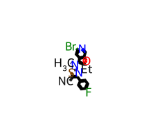 CCc1oc2cnc(Br)cc2c1N(C)c1nc(-c2ccc(F)cc2)c(C#N)s1